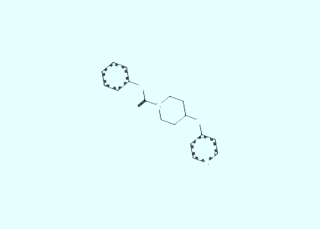 O=C(Oc1ccccc1)N1CCC(Sc2ccncc2)CC1